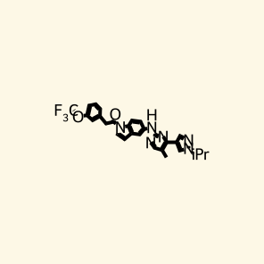 Cc1cnc(Nc2ccc3c(ccn3C(=O)Cc3cccc(OC(F)(F)F)c3)c2)nc1-c1cnn(C(C)C)c1